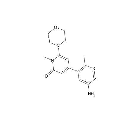 Cc1ncc(N)cc1-c1cc(N2CCOCC2)n(C)c(=O)c1